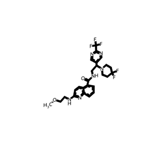 COCCNc1ccc2c(C(=O)NCC(c3cnc(C(F)(F)F)nc3)N3CCC(F)(F)CC3)cccc2n1